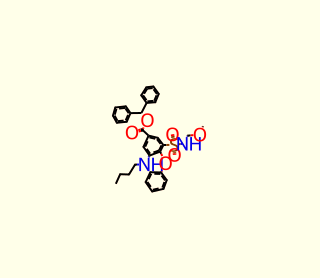 CCCCNc1cc(C(=O)OC(c2ccccc2)c2ccccc2)cc(S(=O)(=O)NCOC)c1Oc1ccccc1